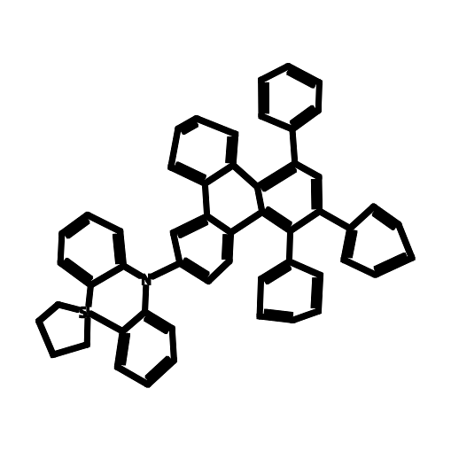 c1ccc(-c2cc(-c3ccccc3)c3c4ccccc4c4cc(N5c6ccccc6[Si]6(CCCC6)c6ccccc65)ccc4c3c2-c2ccccc2)cc1